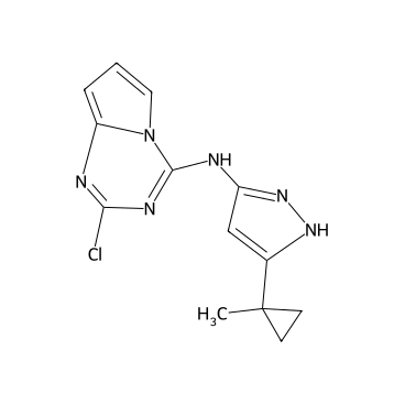 CC1(c2cc(Nc3nc(Cl)nc4cccn34)n[nH]2)CC1